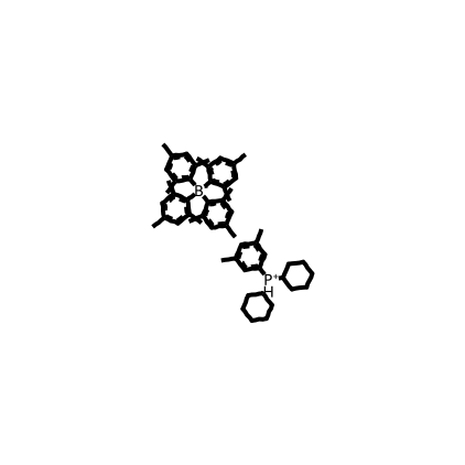 Cc1cc(C)c([B-](c2c(C)cc(C)cc2C)(c2c(C)cc(C)cc2C)c2c(C)cc(C)cc2C)c(C)c1.Cc1cc(C)cc([PH+](C2CCCCC2)C2CCCCC2)c1